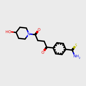 NC(=S)c1ccc(C(=O)CCC(=O)N2CCC(O)CC2)cc1